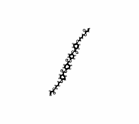 C=CC(=O)OCCCCOc1ccc(C(=O)OC2=CC=C(OC(=O)c3ccc(OC(=O)c4ccc(OCCCCOC(=O)C=C)cc4)cc3)CC2)cc1